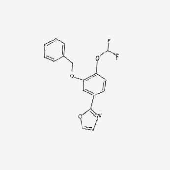 FC(F)Oc1ccc(-c2ncco2)cc1OCc1ccccc1